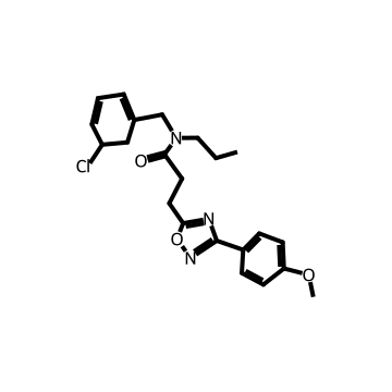 CCCN(CC1=CC=CC(Cl)C1)C(=O)CCc1nc(-c2ccc(OC)cc2)no1